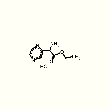 CCOC(=O)C(N)c1cnccn1.Cl